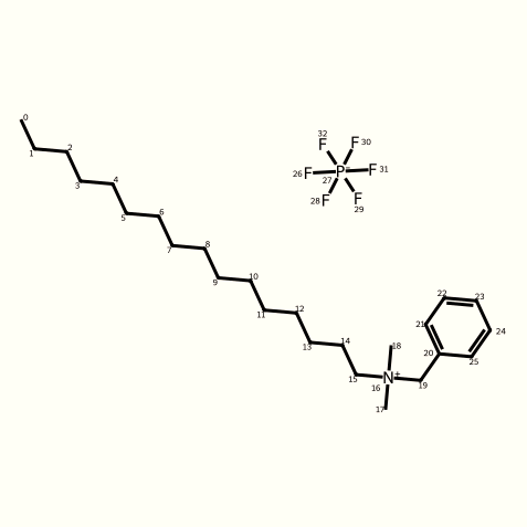 CCCCCCCCCCCCCCCC[N+](C)(C)Cc1ccccc1.F[P-](F)(F)(F)(F)F